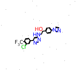 OC(CNc1cc(-c2ccc(C(F)(F)F)c(Cl)c2)ncn1)c1ccc(-n2ccnc2)cc1